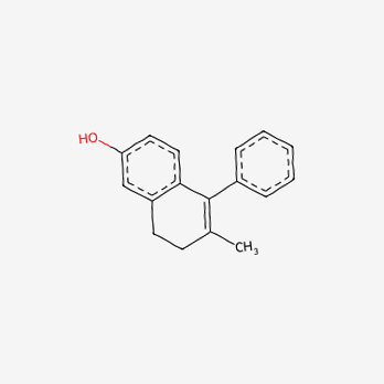 CC1=C(c2ccccc2)c2ccc(O)cc2CC1